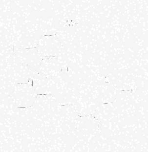 CCN(CC)CCN(CC)C(=O)COCC1CCCCN1S(=O)(=O)c1c(C)cc(OC)cc1C